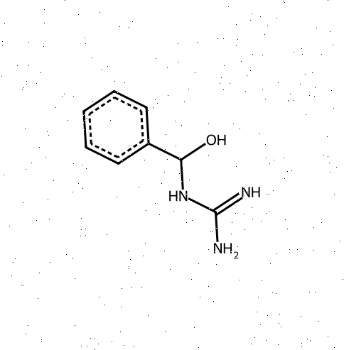 N=C(N)NC(O)c1ccccc1